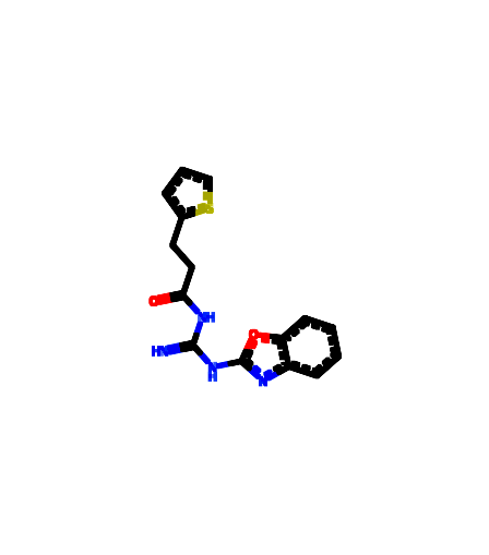 N=C(NC(=O)CCc1cccs1)Nc1nc2ccccc2o1